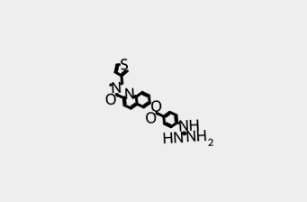 CN(Cc1ccsc1)C(=O)c1ccc2cc(OC(=O)c3ccc(NC(=N)N)cc3)ccc2n1